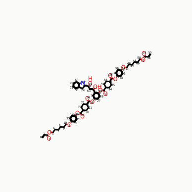 C=CC(=O)OCCCCCCOc1ccc(OC(=O)C2CCC(C(=O)Oc3ccc(OC(=O)C4CCC(C(=O)Oc5ccc(OCCCCCCOC(=O)C=C)cc5)CC4)c(/C(O)=C/C(O)C4=Nc5ccccc5C4)c3)CC2)cc1